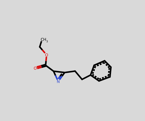 CCOC(=O)C1N=C1CCc1ccccc1